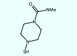 CNC(=O)N1CCN(S)CC1